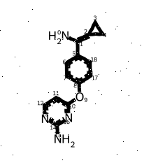 NC(=C1CC1)c1ccc(Oc2ccnc(N)n2)cc1